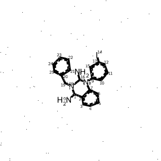 NC1c2ccccc2N(c2cccc(I)c2)C(N)N1Cc1ccccc1